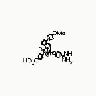 COC1CCN(c2cccc3c2CCN(C(=O)C2CC4(CCN(C(=N)N)CC4)C2)[C@@H]3C(=O)Nc2ccc(C(=O)O)cc2)CC1